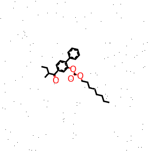 CCCCCCCCOC(=O)Oc1cc(C(=O)C(C)CC)ccc1-c1ccccc1